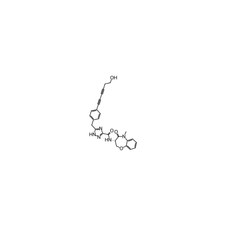 CN1C(=O)[C@@H](NC(=O)c2n[nH]c(Cc3ccc(C#CC#CCCO)cc3)n2)COc2ccccc21